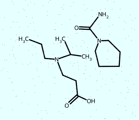 CCCN(CCC(=O)O)C(C)C.NC(=O)N1CCCCC1